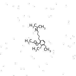 CCOOc1c(CCCCN=C(C)C)ccc(CC)c1CC